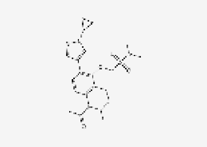 CC(=O)N1c2ccc(-c3cnn(C4CC4)c3)c(OCS(=O)(=O)N(C)C)c2CCC1C